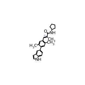 C/C(=C\c1cc(C)c(-c2ccc3[nH]ccc3c2)cc1C)C(=O)NC1CCCC1